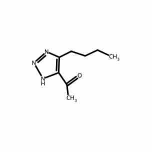 CCCCc1nn[nH]c1C(C)=O